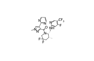 C[C@@H]1CC(F)(F)CN(C(=O)c2nn(C)cc2-c2ncccn2)[C@@H]1CNc1cc(F)c(C(F)(F)F)cn1